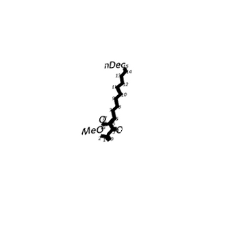 C=C(C)C(=O)C(=CCCCCCCCCCCCCCCCCCC)C(=O)OC